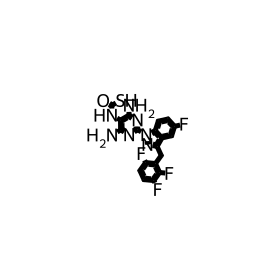 Nc1nc(-n2nc(Cc3c(F)ccc(F)c3F)c3cc(F)ccc32)nc(N)c1NC(=O)S